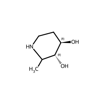 CC1NCC[C@@H](O)[C@@H]1O